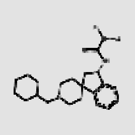 CCN(CC)C(=O)N[C@H]1CC2(CCN(CC3CCCCC3)CC2)c2ccccc21